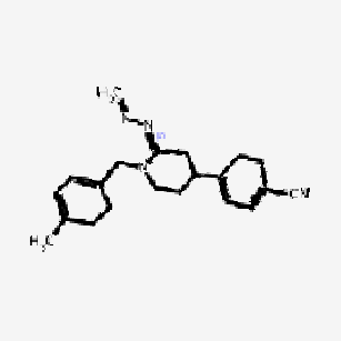 C=N/N=C1/CC(C2=CC=C(C#N)CC2)CCN1CC1=CC=C(C)CC1